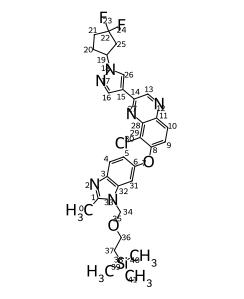 Cc1nc2ccc(Oc3ccc4ncc(-c5cnn(C6CCC(F)(F)C6)c5)nc4c3Cl)cc2n1COCC[Si](C)(C)C